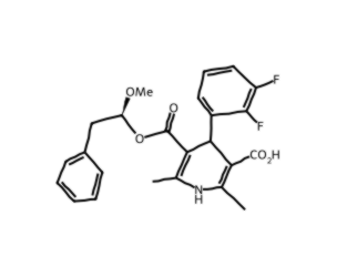 CO[C@H](Cc1ccccc1)OC(=O)C1=C(C)NC(C)=C(C(=O)O)C1c1cccc(F)c1F